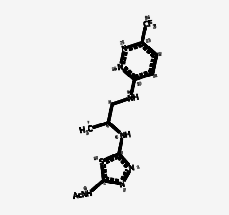 CC(=O)Nc1nnc(NC(C)CNc2ccc(C(F)(F)F)nn2)s1